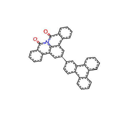 O=c1c2ccccc2c2cc(-c3ccc4c5ccccc5c5ccccc5c4c3)cc3c4ccccc4c(=O)n1c23